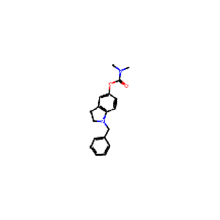 CN(C)C(=O)Oc1ccc2c(c1)CCN2Cc1ccccc1